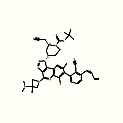 C=C/C=C\c1cccc(-c2c(C)cc3c(nc(N4CC(C)(N(C)C)C4)c4nnn([C@H]5CCN(C(=O)OC(C)(C)C)[C@H](CC#N)C5)c43)c2F)c1C#N